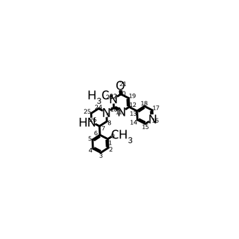 Cc1ccccc1C1CN(c2nc(-c3ccncc3)cc(=O)n2C)CCN1